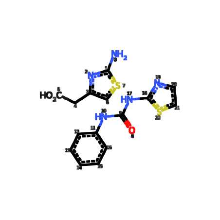 Nc1nc(CC(=O)O)cs1.O=C(Nc1ccccc1)Nc1nccs1